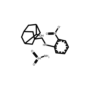 N[SH](=O)=O.O=[N+]([O-])c1ccccc1NCC12CC3CC(C1)C(O)C(C3)C2